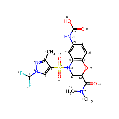 Cc1nn(C(F)F)cc1S(=O)(=O)N1CC(C(=O)N(C)C)Oc2ccc(NC(=O)O)cc21